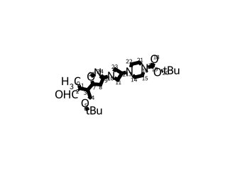 C[C@H](C=O)C(COC(C)(C)C)C1CC(N2CC(N3CCN(C(=O)OC(C)(C)C)CC3)C2)=NO1